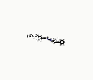 O=C(O)CCC[C@H](O)C#C/C=C/C=C/[C@H](O)CC#Cc1ccccc1